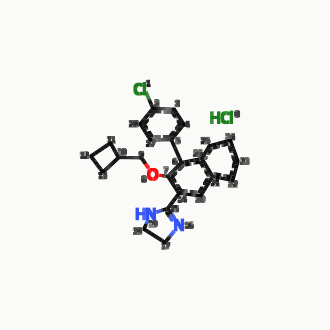 Cl.Clc1ccc(-c2c(OCC3CCC3)c(C3=NCCN3)cc3ccccc23)cc1